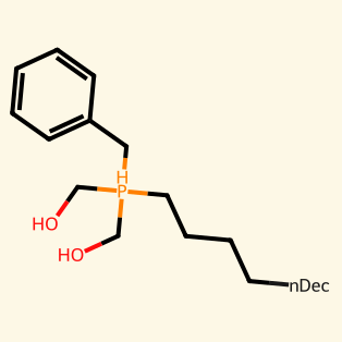 CCCCCCCCCCCCCC[PH](CO)(CO)Cc1ccccc1